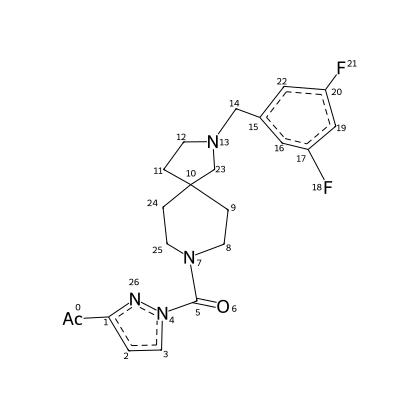 CC(=O)c1ccn(C(=O)N2CCC3(CCN(Cc4cc(F)cc(F)c4)C3)CC2)n1